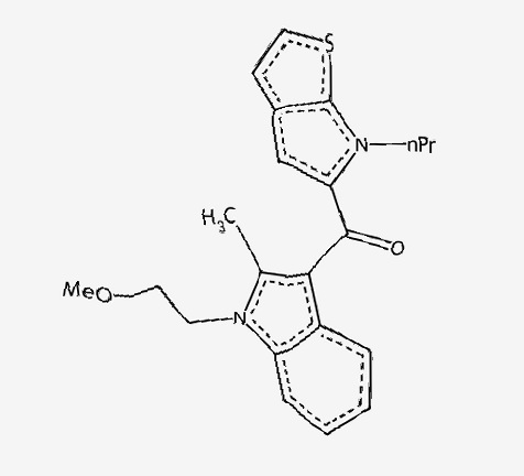 CCCn1c(C(=O)c2c(C)n(CCOC)c3ccccc23)cc2ccsc21